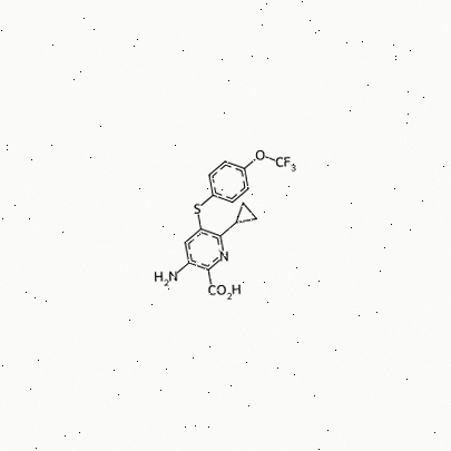 Nc1cc(Sc2ccc(OC(F)(F)F)cc2)c(C2CC2)nc1C(=O)O